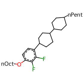 CCCCCCCCOc1ccc(C2CCC(C3CCC(CCCCC)CC3)CC2)c(F)c1F